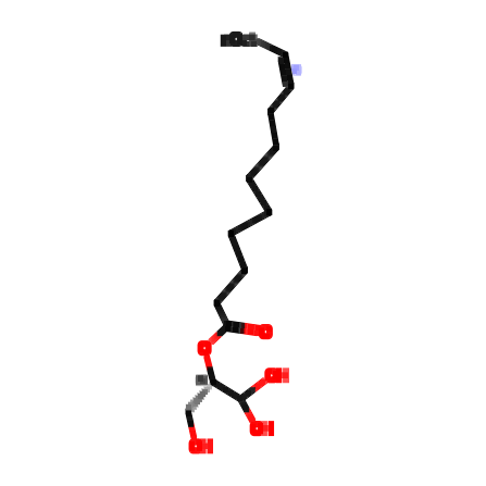 CCCCCCCC/C=C\CCCCCCCC(=O)O[C@@H](CO)C(O)O